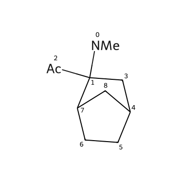 CNC1(C(C)=O)CC2CCC1C2